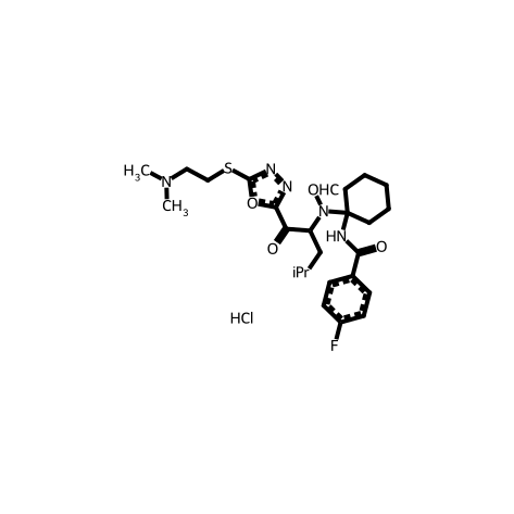 CC(C)CC(C(=O)c1nnc(SCCN(C)C)o1)N(C=O)C1(NC(=O)c2ccc(F)cc2)CCCCC1.Cl